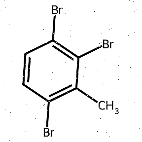 Cc1c(Br)ccc(Br)c1Br